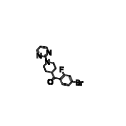 O=C(c1ccc(Br)cc1F)C1CCN(c2ncccn2)CC1